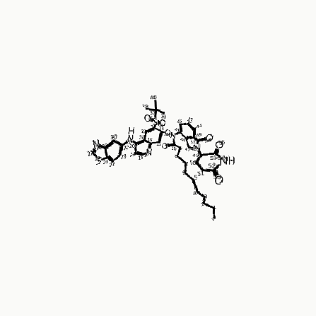 CCCCCCCCCCC(=O)N(Oc1cc2nccc(Nc3ccc4scnc4c3)c2cc1S(=O)(=O)C(C)(C)C)c1cccc2c1CN(C1CCC(=O)NC1=O)C2=O